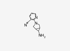 N#Cc1cccnc1N1CC2C(N)C2C1